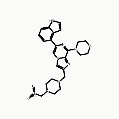 O=[SH](=O)CN1CCN(Cc2cn3cc(-c4cccc5[nH]ccc45)nc(N4CCOCC4)c3n2)CC1